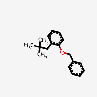 CC(C)(C)Cc1ccccc1OCc1ccccc1